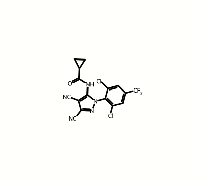 N#Cc1nn(-c2c(Cl)cc(C(F)(F)F)cc2Cl)c(NC(=O)C2CC2)c1C#N